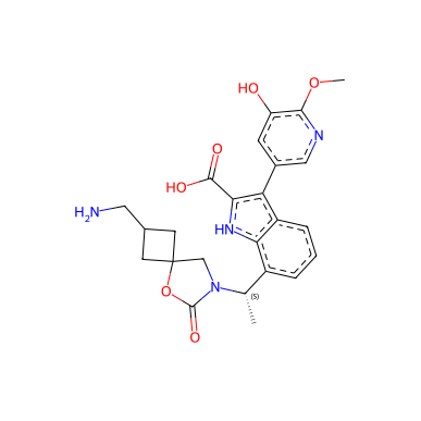 COc1ncc(-c2c(C(=O)O)[nH]c3c([C@H](C)N4CC5(CC(CN)C5)OC4=O)cccc23)cc1O